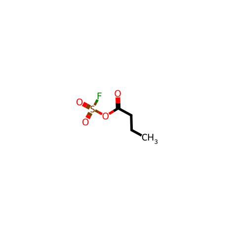 CCCC(=O)OS(=O)(=O)F